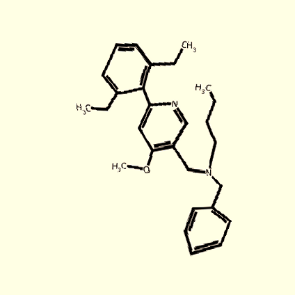 CCCCN(Cc1ccccc1)Cc1cnc(-c2c(CC)cccc2CC)cc1OC